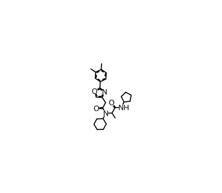 Cc1ccc(-c2nc(CC(=O)N(C3CCCCC3)C(C)C(=O)NC3CCCC3)co2)cc1C